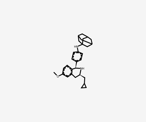 COc1ccc2c(c1)C[C@H](CC1CC1)N[C@@H]2c1ccc(NC23CC4CC(CC(C4)C2)C3)cc1